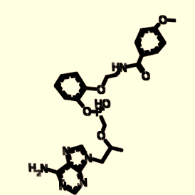 COc1ccc(C(=O)NCCOc2ccccc2O[PH](=O)COC(C)Cn2cnc3c(N)ncnc32)cc1